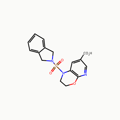 O=C(O)c1cnc2c(c1)N(S(=O)(=O)N1Cc3ccccc3C1)CCO2